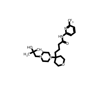 CC(C)(O)CN1CCN(C2(CCCC(=O)Nc3cccc(C(F)(F)F)n3)CCOCC2)CC1